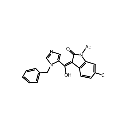 CC(=O)N1C(=O)C(=C(O)c2cncn2Cc2ccccc2)c2ccc(Cl)cc21